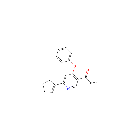 COC(=O)c1cnc(C2=CCCC2)cc1Oc1ccccc1